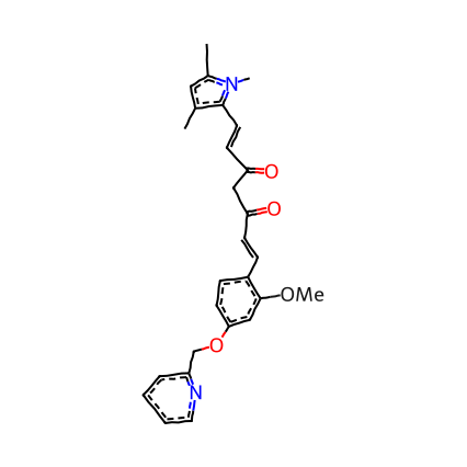 COc1cc(OCc2ccccn2)ccc1/C=C/C(=O)CC(=O)/C=C/c1c(C)cc(C)n1C